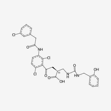 O=C(Cc1cccc(Cl)c1)Nc1ccc(Cl)c(C(=O)C[C@@H](CNC(=O)NCc2ccccc2O)C(=O)O)c1Cl